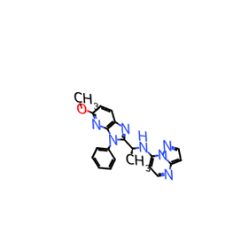 COc1ccc2nc([C@H](C)Nc3ccnc4ccnn34)n(-c3ccccc3)c2n1